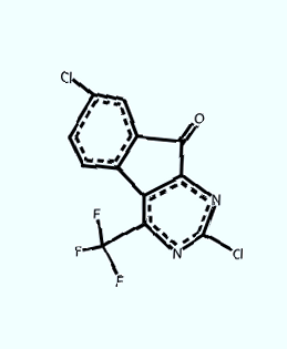 O=C1c2cc(Cl)ccc2-c2c1nc(Cl)nc2C(F)(F)F